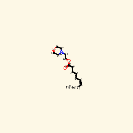 CCCCC/C=C\CCCCC(=O)OCCN1CCOCC1